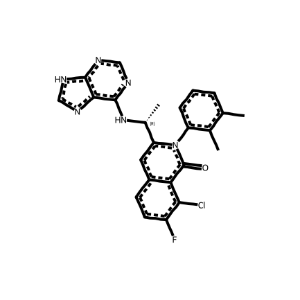 Cc1cccc(-n2c([C@@H](C)Nc3ncnc4[nH]cnc34)cc3ccc(F)c(Cl)c3c2=O)c1C